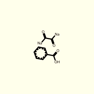 O=C(O)c1ccccc1.O=[C]([Na])[C](=O)[Na]